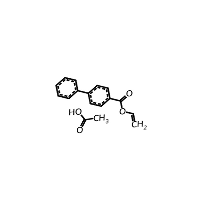 C=COC(=O)c1ccc(-c2ccccc2)cc1.CC(=O)O